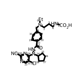 CCN(CCCNC(=O)O)Cc1ccc(C(=O)NN(c2nc(C#N)ncc2Cl)C2CCCC2)cc1